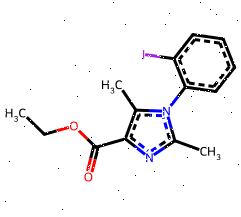 CCOC(=O)c1nc(C)n(-c2ccccc2I)c1C